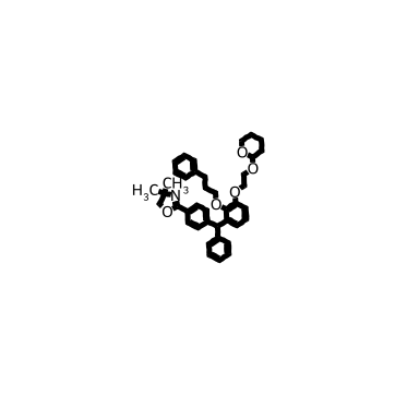 CC1(C)COC(c2ccc(C(c3ccccc3)c3cccc(OCCOC4CCCCO4)c3OCCCc3ccccc3)cc2)=N1